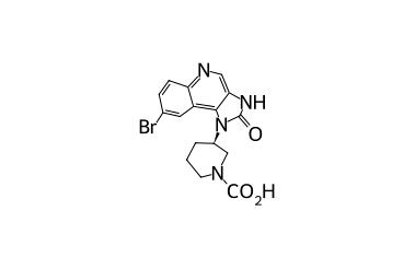 O=C(O)N1CCC[C@@H](n2c(=O)[nH]c3cnc4ccc(Br)cc4c32)C1